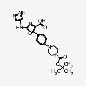 CC(C)(C)OC(=O)N1CCN(c2ccc(-c3oc(Nc4cn[nH]c4)nc3C(=O)O)cc2)CC1